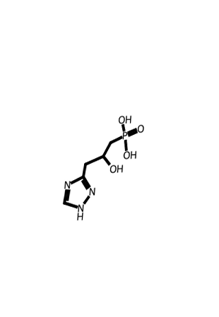 O=P(O)(O)CC(O)Cc1nc[nH]n1